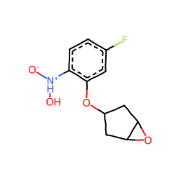 [O-][NH+](O)c1ccc(F)cc1OC1CC2OC2C1